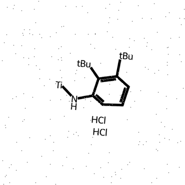 CC(C)(C)c1cccc([NH][Ti])c1C(C)(C)C.Cl.Cl